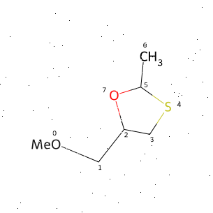 COCC1CSC(C)O1